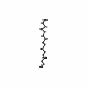 OCCNCCOCCOCCOCCO